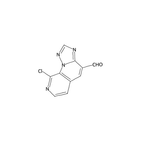 O=Cc1cc2ccnc(Cl)c2n2ncnc12